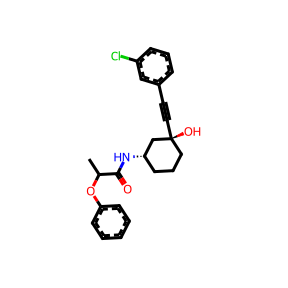 CC(Oc1ccccc1)C(=O)N[C@H]1CCC[C@@](O)(C#Cc2cccc(Cl)c2)C1